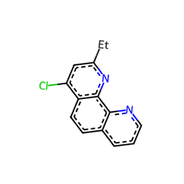 CCc1cc(Cl)c2ccc3cccnc3c2n1